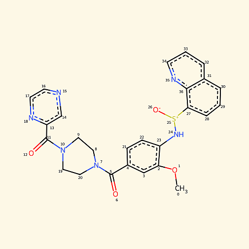 COc1cc(C(=O)N2CCN(C(=O)c3cnccn3)CC2)ccc1N[S+]([O-])c1cccc2cccnc12